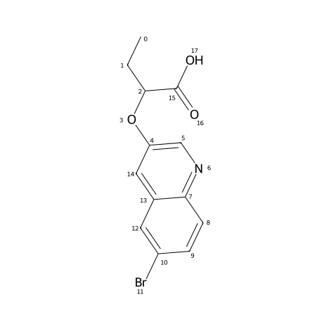 CCC(Oc1cnc2ccc(Br)cc2c1)C(=O)O